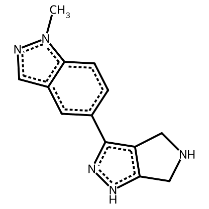 Cn1ncc2cc(-c3n[nH]c4c3CNC4)ccc21